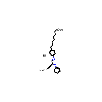 CCCCCC#CC(C=Nc1ccc(CCCCCCCCCCCCCCCCC)cc1)=Nc1ccccc1.[Ni]